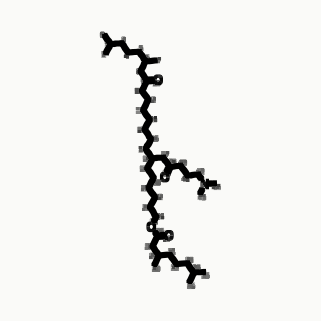 CC(C)CCCC(C)CC(=O)CCCCCCCC(CCCCCCOC(=O)CC(C)CCCC(C)C)CC(=O)CCCN(C)C